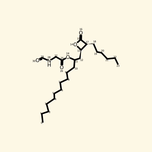 CCCCCCCCCCCC(C[C@H]1OC(=O)[C@@H]1CCCCCC)OC(=O)CNC=O